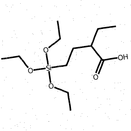 CCO[Si](CCC(CC)C(=O)O)(OCC)OCC